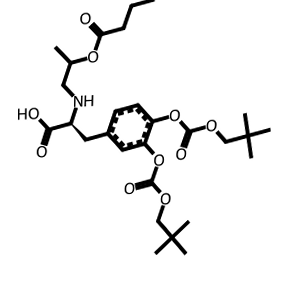 CCCC(=O)OC(C)CN[C@@H](Cc1ccc(OC(=O)OCC(C)(C)C)c(OC(=O)OCC(C)(C)C)c1)C(=O)O